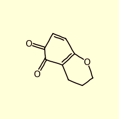 O=C1C=CC2=C(CCCO2)C1=O